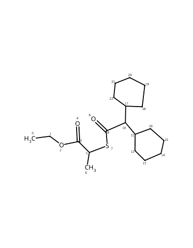 CCOC(=O)C(C)SC(=O)C(C1CCCCC1)C1CCCCC1